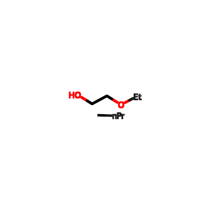 CCCC.CCOCCO